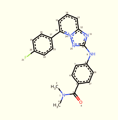 CN(C)C(=O)c1ccc(Nc2nc3cccc(-c4ccc(F)cc4)n3n2)cc1